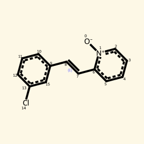 [O-][n+]1ccccc1/C=C/c1cccc(Cl)c1